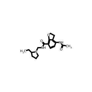 CCC1CCCN1CNC(=O)c1ccc(NC(C)=O)c2c1OCC2